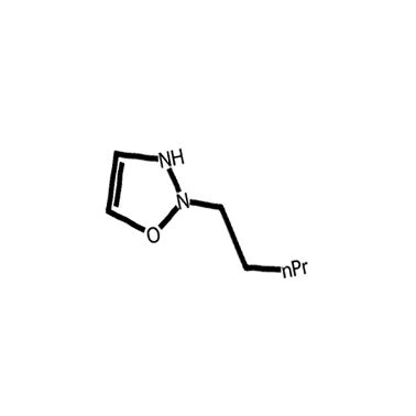 CCCCCN1NC=CO1